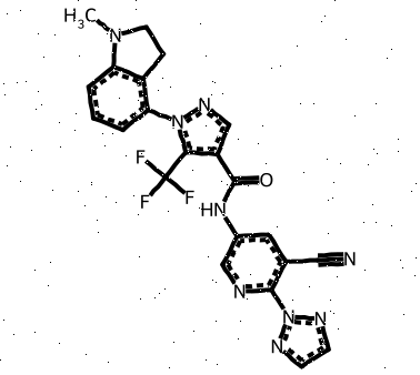 CN1CCc2c1cccc2-n1ncc(C(=O)Nc2cnc(-n3nccn3)c(C#N)c2)c1C(F)(F)F